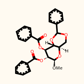 CO[C@@H]1O[C@@H]2COC(c3ccccc3)O[C@H]2[C@H](OC(=O)c2ccccc2)[C@H]1OC(=O)c1ccccc1